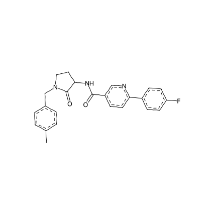 Cc1ccc(CN2CCC(NC(=O)c3ccc(-c4ccc(F)cc4)nc3)C2=O)cc1